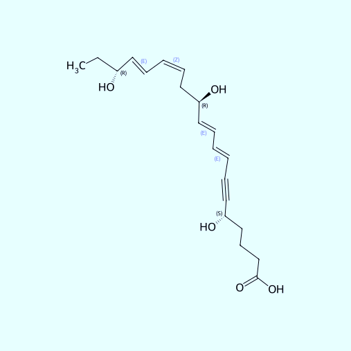 CC[C@@H](O)/C=C/C=C\C[C@@H](O)/C=C/C=C/C#C[C@@H](O)CCCC(=O)O